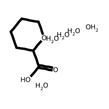 O.O.O.O.O.O=C(O)C1CCCCO1